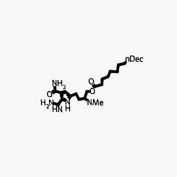 CCCCCCCCCCCCCCCCCC(=O)OCC(CCc1cc(C(N)=O)c(C(=N)N)[nH]1)NC